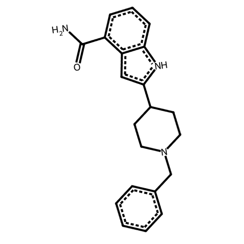 NC(=O)c1cccc2[nH]c(C3CCN(Cc4ccccc4)CC3)cc12